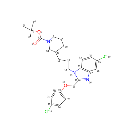 CC(C)(C)OC(=O)N1CCCC(CCCn2c(COc3ccc(Cl)cc3)nc3cc(Cl)ccc32)C1